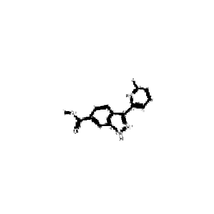 COC(=O)c1ccc2c(-c3cccc(C)n3)n[nH]c2c1